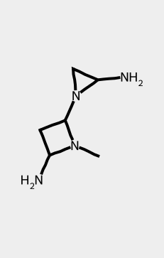 CN1C(N)CC1N1CC1N